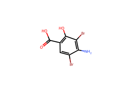 Nc1c(Br)cc(C(=O)O)c(O)c1Br